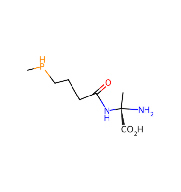 CPCCCC(=O)N[C@](C)(N)C(=O)O